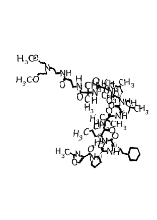 COCCN(CCNC(=O)CCNC(=O)C(C)(C)NC(=O)C(C)(C)NC(=O)[C@H](CC(C)C)NC(=O)[C@H](CC(C)C)NC(=O)C(C)(C)NC(=O)[C@H](CC(C)C)NC(=O)[C@H](CCC1CCCCC1)NC(=O)[C@@H]1CCCN1C(=O)c1coc(C)n1)CCOC